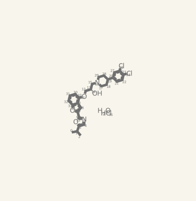 CC(C)c1cnc(-c2cc3c(OC[C@@H](O)CN4CCC(c5ccc(Cl)c(Cl)c5)CC4)cccc3o2)o1.Cl.O